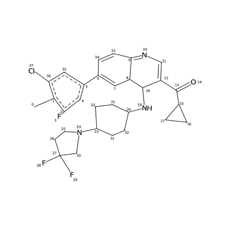 Cc1c(F)cc(C2=CC3C(=NC=C(C(=O)C4CC4)C3NC3CCC(N4CCC(F)(F)C4)CC3)C=C2)cc1Cl